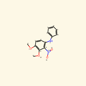 COc1ccc(Nc2ccccc2)c([N+](=O)[O-])c1OC